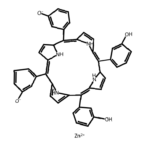 [O-]c1cccc(/C2=C3\C=CC(N3)/C(c3cccc([O-])c3)=c3/cc/c([nH]3)=C(\c3cccc(O)c3)C3C=C/C(=C(\c4cccc(O)c4)c4ccc2[nH]4)N3)c1.[Zn+2]